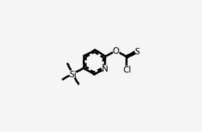 C[Si](C)(C)c1ccc(OC(=S)Cl)nc1